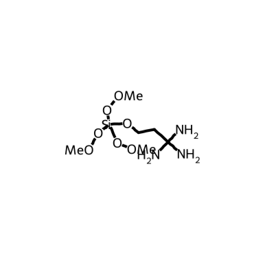 COO[Si](OCCC(N)(N)N)(OOC)OOC